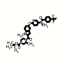 CC1CN(C(=O)OC(C)(C)C)CCN1C(=O)c1cc2cc(Oc3ccc(N(C)C(=O)c4ccc(C(F)(F)F)cc4)cn3)ccc2n1C